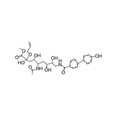 C=CCOC(O)(CC(O)C(C[C@H](O)C(O)CNC(=O)c1ccc(-c2ccc(O)cc2)cc1)NC(C)=O)C(=O)OC